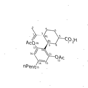 C=C(C)[C@@H]1CCC(C(=O)O)C[C@H]1c1c(OC(C)=O)cc(CCCCC)cc1OC(C)=O